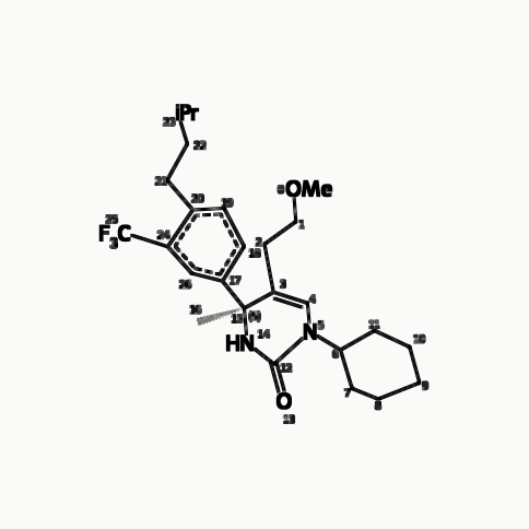 COCCC1=CN(C2CCCCC2)C(=O)N[C@@]1(C)c1ccc(CCC(C)C)c(C(F)(F)F)c1